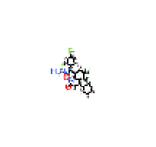 Cn1c(=O)cc(-c2ccccc2Cl)c2cc(Cl)cc(N(C(N)=O)c3ccc(F)cc3F)c21